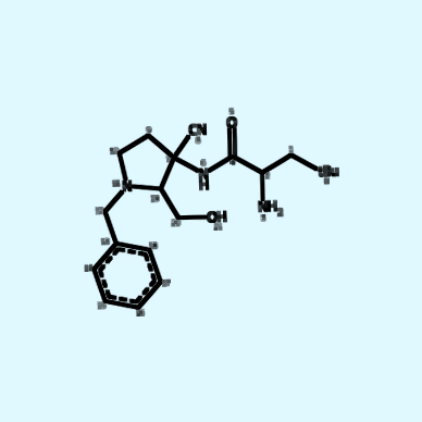 CC(C)(C)CC(N)C(=O)NC1(C#N)CCN(Cc2ccccc2)C1CO